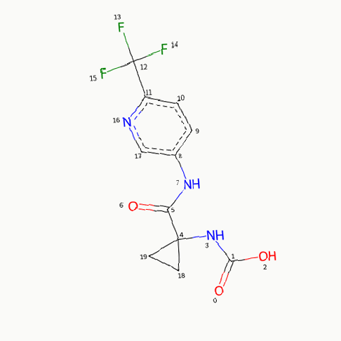 O=C(O)NC1(C(=O)Nc2ccc(C(F)(F)F)nc2)CC1